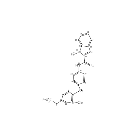 CCOC(=O)Cc1ccc(Oc2ccc(NC(=O)c3cc4ccccc4n3CC)cn2)c(Cl)c1